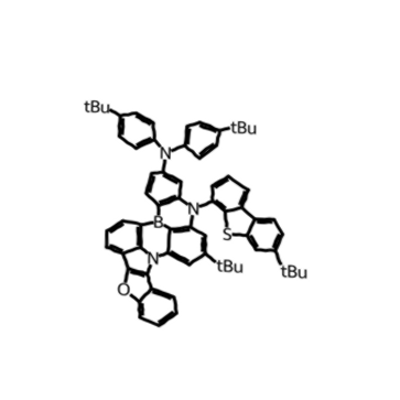 CC(C)(C)c1ccc(N(c2ccc(C(C)(C)C)cc2)c2ccc3c(c2)N(c2cccc4c2sc2cc(C(C)(C)C)ccc24)c2cc(C(C)(C)C)cc4c2B3c2cccc3c5oc6ccccc6c5n-4c23)cc1